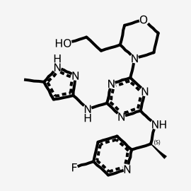 Cc1cc(Nc2nc(N[C@@H](C)c3ccc(F)cn3)nc(N3CCOCC3CCO)n2)n[nH]1